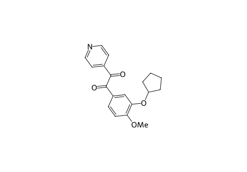 COc1ccc(C(=O)C(=O)c2ccncc2)cc1OC1CCCC1